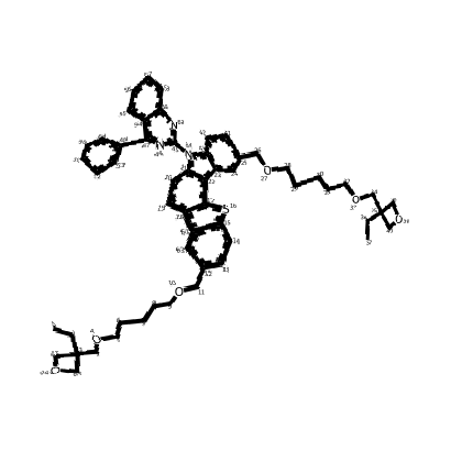 CCC1(COCCCCCOCc2ccc3sc4c(ccc5c4c4cc(COCCCCCOCC6(CC)COC6)ccc4n5-c4nc(-c5ccccc5)c5ccccc5n4)c3c2)COC1